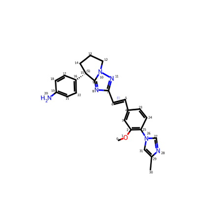 COc1cc(/C=C/c2nc3n(n2)CCC[C@H]3c2ccc(N)cc2)ccc1-n1cnc(C)c1